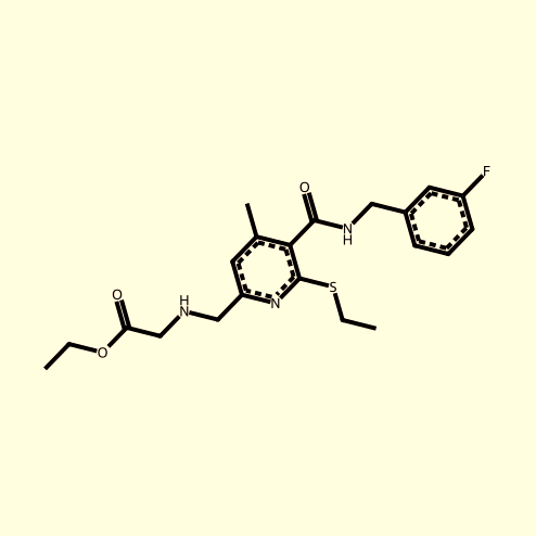 CCOC(=O)CNCc1cc(C)c(C(=O)NCc2cccc(F)c2)c(SCC)n1